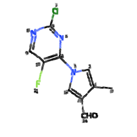 Cc1cn(-c2nc(Cl)ncc2F)cc1C=O